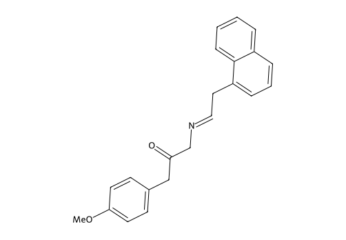 COc1ccc(CC(=O)C/N=C/Cc2cccc3ccccc23)cc1